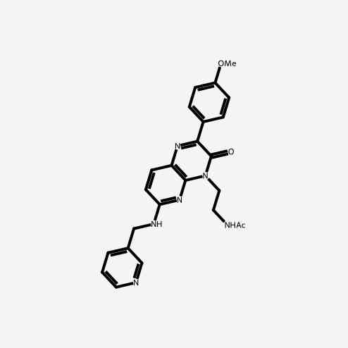 COc1ccc(-c2nc3ccc(NCc4cccnc4)nc3n(CCNC(C)=O)c2=O)cc1